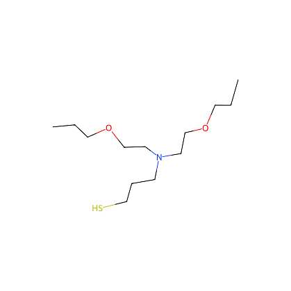 CCCOCCN(CCCS)CCOCCC